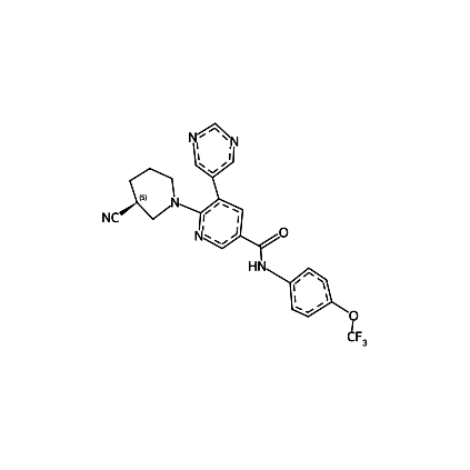 N#C[C@H]1CCCN(c2ncc(C(=O)Nc3ccc(OC(F)(F)F)cc3)cc2-c2cncnc2)C1